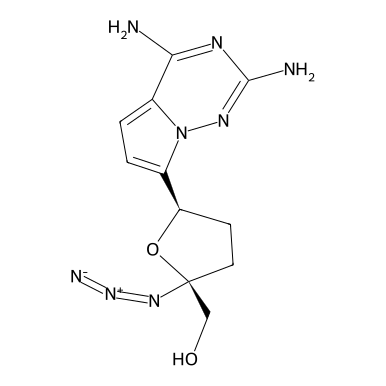 [N-]=[N+]=N[C@@]1(CO)CC[C@H](c2ccc3c(N)nc(N)nn23)O1